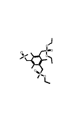 CCOP(C)(=O)Cc1c(C)c(CP(C)(C)=O)c(C)c(CP(=O)(OCC)OCC)c1C